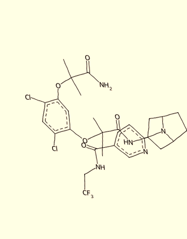 CC(C)(Oc1cc(OC(C)(C)C(=O)NC2CC3CCC(C2)N3c2ccc(C(=O)NCC(F)(F)F)cn2)c(Cl)cc1Cl)C(N)=O